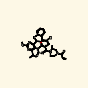 C=CC(=O)N1CCN(/C(=N/C)c2cc(Cl)c(-c3ccccc3F)nc2N(C=O)c2c(C(C)C)nc(OC)nc2C(C)C)C(C)C1